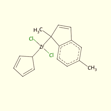 Cc1ccc2c(c1)C=C[C]2(C)[Zr]([Cl])([Cl])[CH]1C=CC=C1